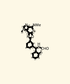 CNc1nc2oc(-c3cccc(C(NC=O)c4ccccc4F)c3)nc2c2c1ncn2C